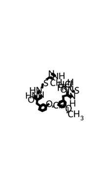 CCOc1cccc(Cc2c[nH]c(=S)[nH]c2=O)c1.CCOc1cccc(Cc2cnc(NCCSCc3nc[nH]c3C)[nH]c2=O)c1.Cl.Cl